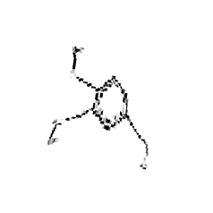 CC(C)Oc1ccc(CO)cc1OC(C)C